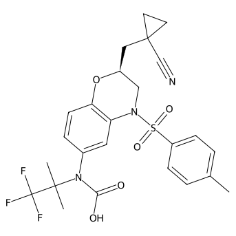 Cc1ccc(S(=O)(=O)N2C[C@H](CC3(C#N)CC3)Oc3ccc(N(C(=O)O)C(C)(C)C(F)(F)F)cc32)cc1